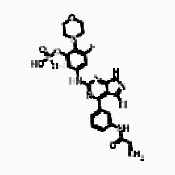 C=CC(=O)Nc1cccc(-c2nc(Nc3cc(F)c(N4CCOCC4)c(OP(=O)(O)O)c3)nc3[nH]nc(Cl)c23)c1